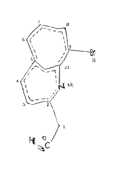 CCc1ccc2cccc(Br)c2n1